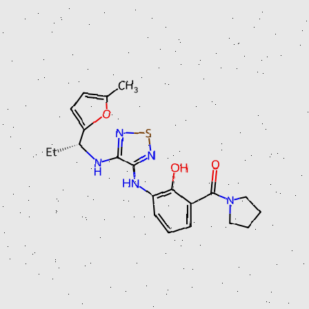 CC[C@@H](Nc1nsnc1Nc1cccc(C(=O)N2CCCC2)c1O)c1ccc(C)o1